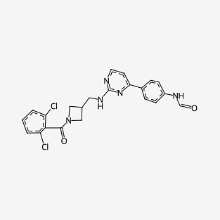 O=CNc1ccc(-c2ccnc(NCC3CN(C(=O)c4c(Cl)cccc4Cl)C3)n2)cc1